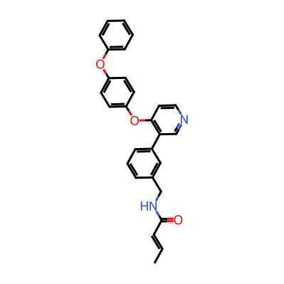 CC=CC(=O)NCc1cccc(-c2cnccc2Oc2ccc(Oc3ccccc3)cc2)c1